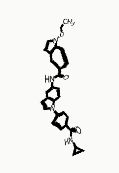 CCOn1ccc2cc(C(=O)Nc3ccc4c(ccn4-c4ccc(C(=O)NC5CC5)cc4)c3)ccc21